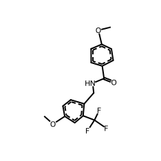 COc1ccc(C(=O)NCc2ccc(OC)cc2C(F)(F)F)cc1